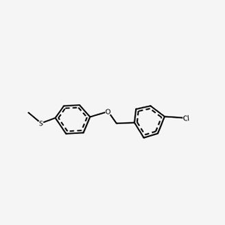 CSc1ccc(OCc2ccc(Cl)cc2)cc1